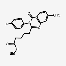 CC(C)(C)OC(=O)CCCCc1nc2cc(C=O)ccc2c(=O)n1-c1ccc(F)cc1